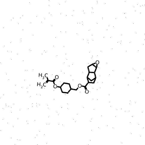 C=C(C)C(=O)OC1CCC(COC(=O)C2CC3CC2C2CC4OC4C32)CC1